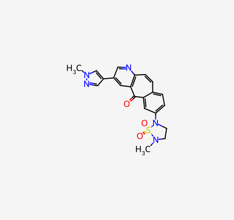 CN1CCN(c2ccc3ccc4ncc(-c5cnn(C)c5)cc4c(=O)c3c2)S1(=O)=O